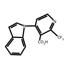 O=C(O)c1c(-n2ccc3ccccc32)ccnc1C(F)(F)F